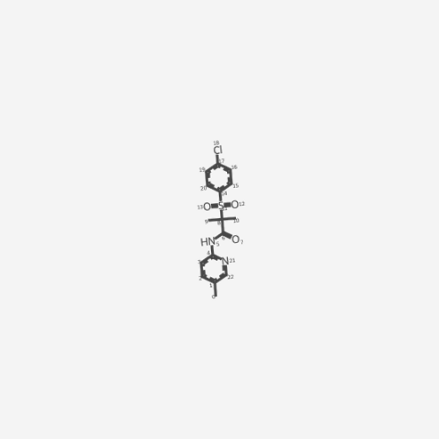 Cc1ccc(NC(=O)C(C)(C)S(=O)(=O)c2ccc(Cl)cc2)nc1